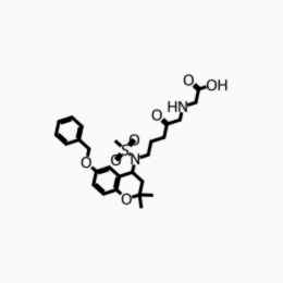 CC1(C)CC(N(CCCC(=O)CNCC(=O)O)S(C)(=O)=O)c2cc(OCc3ccccc3)ccc2O1